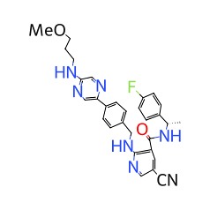 COCCCNc1cnc(-c2ccc(CNc3ncc(C#N)cc3C(=O)N[C@@H](C)c3ccc(F)cc3)cc2)cn1